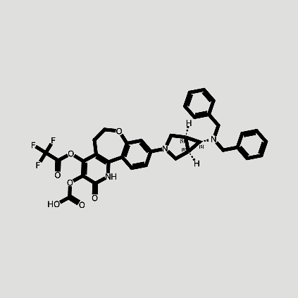 O=C(O)Oc1c(OC(=O)C(F)(F)F)c2c([nH]c1=O)-c1ccc(N3C[C@@H]4[C@H](C3)[C@H]4N(Cc3ccccc3)Cc3ccccc3)cc1OCC2